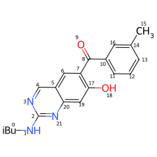 CCC(C)Nc1ncc2cc(C(=O)c3cccc(C)c3)c(O)cc2n1